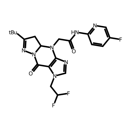 CC(C)(C)C1=NN2C(=O)c3c(ncn3CC(F)F)N(CC(=O)Nc3ccc(F)cn3)C2C1